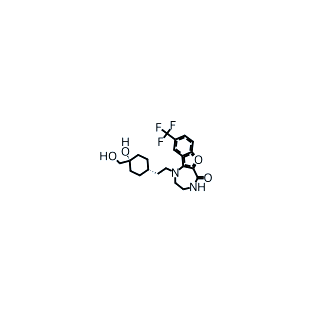 O=C1NCCN(CC[C@H]2CC[C@](O)(CO)CC2)c2c1oc1ccc(C(F)(F)F)cc21